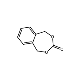 O=C1OCc2ccccc2CO1